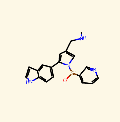 CNCc1cc(-c2ccc3[nH]ccc3c2)n([S+]([O-])c2cccnc2)c1